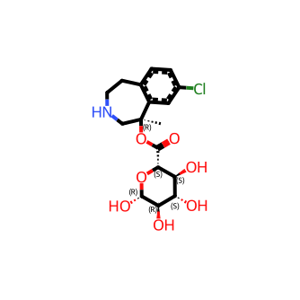 C[C@]1(OC(=O)[C@H]2O[C@@H](O)[C@H](O)[C@@H](O)[C@@H]2O)CNCCc2ccc(Cl)cc21